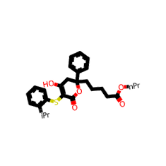 CCCOC(=O)CCCCC1(c2ccccc2)CC(O)=C(Sc2ccccc2C(C)C)C(=O)O1